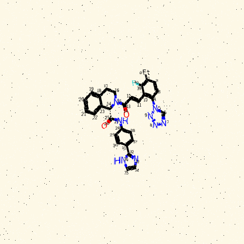 CCc1ccc(-n2cnnn2)c(/C=C/C(=O)N2CCc3ccccc3[C@H]2C(=O)Nc2ccc(-c3ncc[nH]3)cc2)c1F